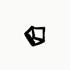 C1=CC2CC1C2